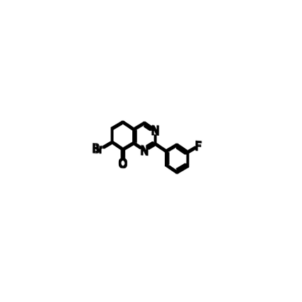 O=C1c2nc(-c3cccc(F)c3)ncc2CCC1Br